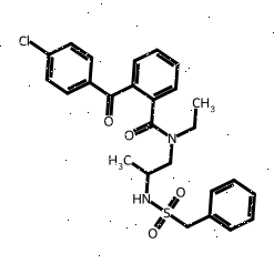 CCN(CC(C)NS(=O)(=O)Cc1ccccc1)C(=O)c1ccccc1C(=O)c1ccc(Cl)cc1